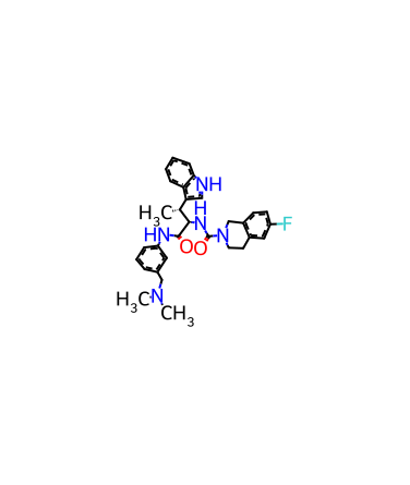 C[C@H](c1c[nH]c2ccccc12)[C@@H](NC(=O)N1CCc2cc(F)ccc2C1)C(=O)Nc1cccc(CN(C)C)c1